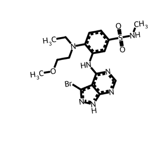 CCN(CCOC)c1ccc(S(=O)(=O)NC)cc1Nc1ncnc2[nH]nc(Br)c12